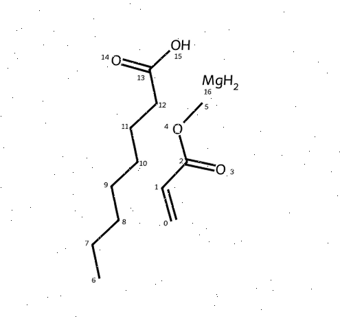 C=CC(=O)OC.CCCCCCCC(=O)O.[MgH2]